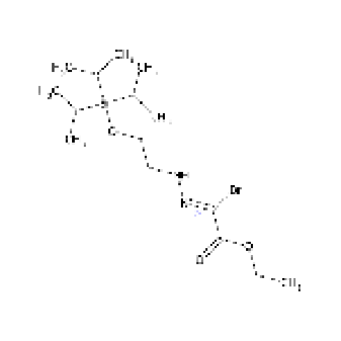 CCOC(=O)/C(Br)=N/NCCO[Si](C(C)C)(C(C)C)C(C)C